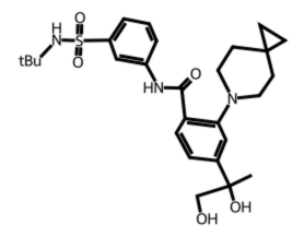 CC(C)(C)NS(=O)(=O)c1cccc(NC(=O)c2ccc(C(C)(O)CO)cc2N2CCC3(CC2)CC3)c1